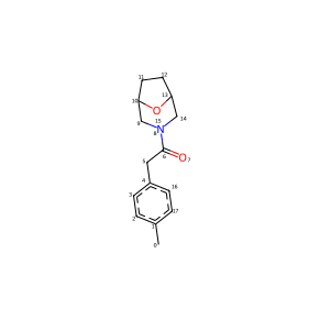 Cc1ccc(CC(=O)N2CC3CCC(C2)O3)cc1